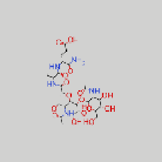 CC(=O)N[C@H]1[C@H](O[C@@H]([C@H](O[C@H](C)C(=O)N[C@@H](C)C(=O)N[C@H](CCC(=O)O)C(N)=O)[C@H](C=O)NC(C)=O)[C@H](O)CO)O[C@H](CO)[C@@H](O)[C@@H]1O